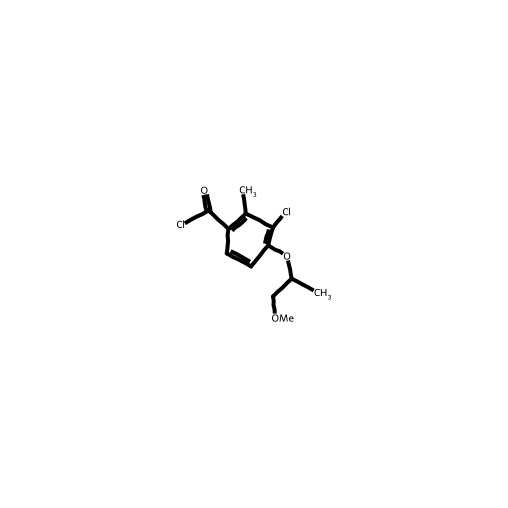 COCC(C)Oc1ccc(C(=O)Cl)c(C)c1Cl